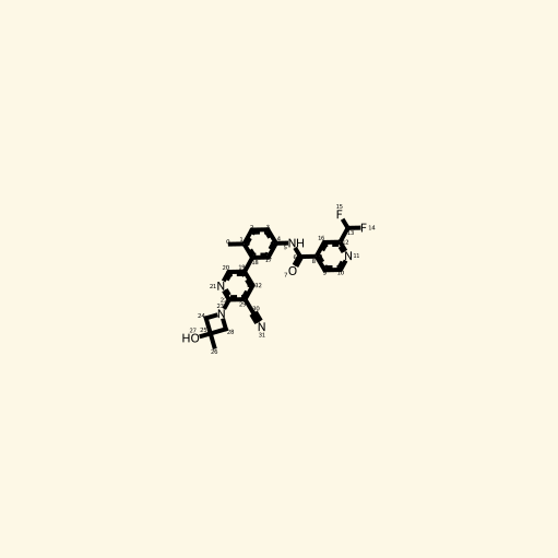 Cc1ccc(NC(=O)c2ccnc(C(F)F)c2)cc1-c1cnc(N2CC(C)(O)C2)c(C#N)c1